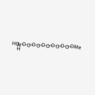 COCCOCCOCCOCCOCCOCCOCCOCCOCCOCCOCCNO